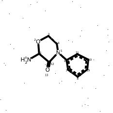 NC1OCCN(c2ccccc2)C1=O